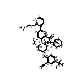 CCOc1ncccc1-c1ccc(N2CC[C@H](Oc3ccc(C(F)(F)F)cc3C#N)C[C@@H]2CC)c(C(=O)N[C@@H]2CN3CCC2CC3)n1